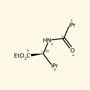 CCOC(=O)[C@@H](NC(=O)C(C)C)C(C)C